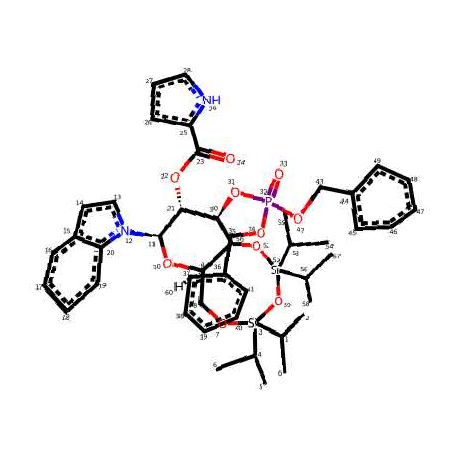 CC(C)[Si]1(C(C)C)OC[C@H]2O[C@@H](n3ccc4ccccc43)[C@H](OC(=O)c3ccc[nH]3)[C@@H](OP(=O)(OCc3ccccc3)OCc3ccccc3)C2O[Si](C(C)C)(C(C)C)O1